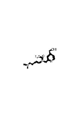 CN(C)CCCCN(Cc1cc(CO)ccn1)C(=O)C(F)(F)F